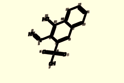 N=Nc1c(S(=O)(=O)O)cc2ccccc2c1O